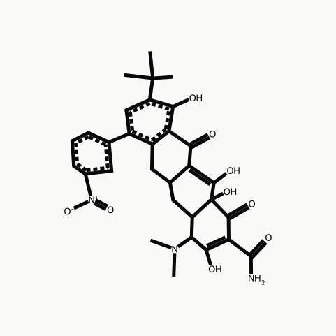 CN(C)C1C(O)=C(C(N)=O)C(=O)C2(O)C(O)=C3C(=O)c4c(O)c(C(C)(C)C)cc(-c5cccc([N+](=O)[O-])c5)c4CC3CC12